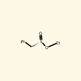 CCO[S@@](=O)CC(C)C